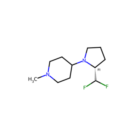 CN1CCC(N2CCC[C@@H]2C(F)F)CC1